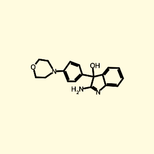 NC1=Nc2ccccc2C1(O)c1ccc(N2CCOCC2)cc1